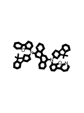 CC1(C)c2ccccc2-c2ccc(N(c3cc4c5ccccc5c(N(c5ccc6c(c5)C(C)(C)c5ccccc5-6)c5cccc6c5oc5ncccc56)cc4c4ccccc34)c3cccc4c3oc3ccccc34)cc21